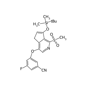 CC(C)(C)[Si](C)(C)OC1=CCc2c(Oc3cc(F)cc(C#N)c3)cnc(S(C)(=O)=O)c21